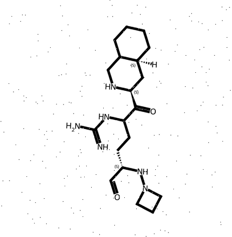 N=C(N)NC(CC[C@@H](C=O)NN1CCC1)C(=O)[C@@H]1C[C@@H]2CCCCC2CN1